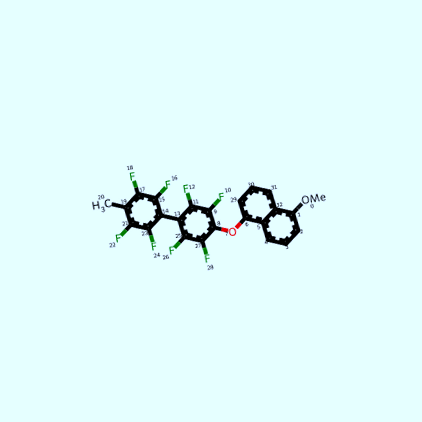 COc1cccc2c(Oc3c(F)c(F)c(-c4c(F)c(F)c(C)c(F)c4F)c(F)c3F)cccc12